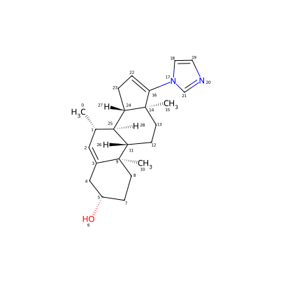 C[C@H]1C=C2C[C@@H](O)CC[C@]2(C)[C@H]2CC[C@]3(C)C(n4ccnc4)=CC[C@H]3[C@H]12